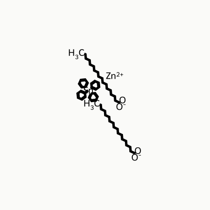 CCCCCCCCCCCCCCCCCC(=O)[O-].CCCCCCCCCCCCCCCCCC(=O)[O-].[Zn+2].c1cc[c]([Sn]([c]2ccccc2)([c]2ccccc2)[c]2ccccc2)cc1